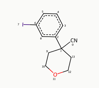 N#CC1(c2cccc(I)c2)CCOCC1